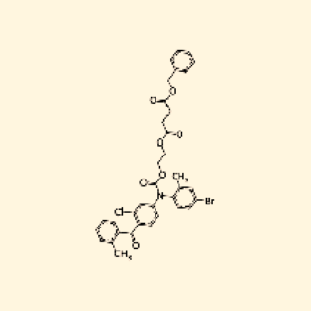 Cc1ccccc1C(=O)c1ccc(N(C(=O)OCCOC(=O)CCC(=O)OCc2ccccc2)c2ccc(Br)cc2C)cc1Cl